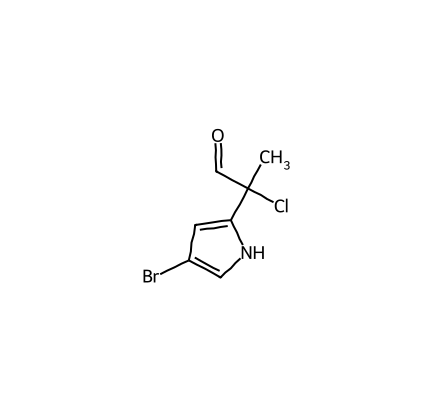 CC(Cl)(C=O)c1cc(Br)c[nH]1